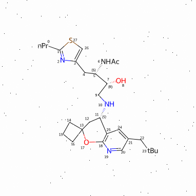 CCCc1nc(C[C@H](NC(C)=O)[C@H](O)CN[C@H]2CC3(CCC3)Oc3ncc(CC(C)(C)C)cc32)cs1